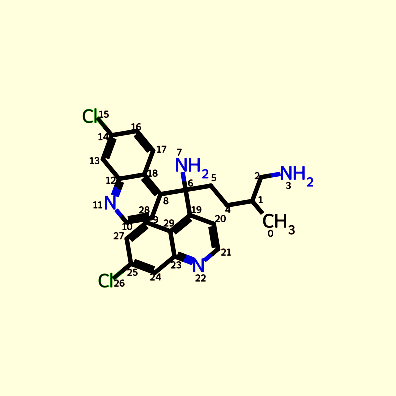 CC(CN)CCC(N)(c1ccnc2cc(Cl)ccc12)c1ccnc2cc(Cl)ccc12